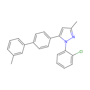 Cc1cccc(-c2ccc(-c3cc(C)nn3-c3ccccc3Cl)cc2)c1